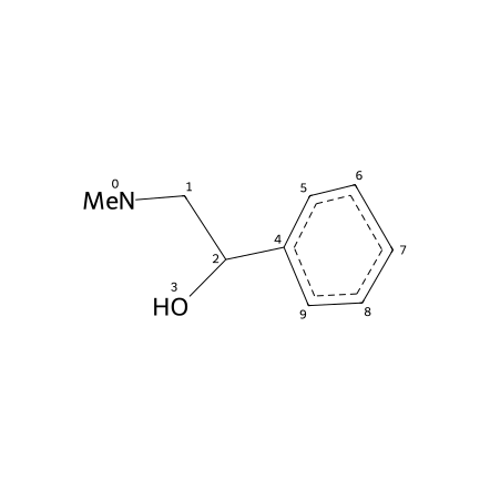 [CH2+][N-]CC(O)c1ccccc1